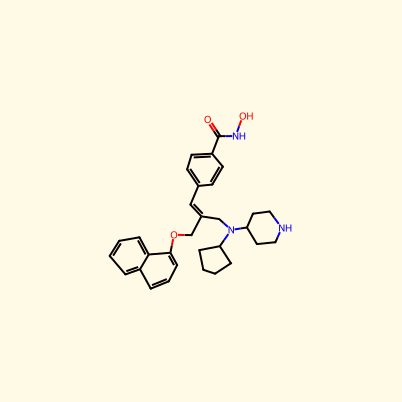 O=C(NO)c1ccc(/C=C(/COc2cccc3ccccc23)CN(C2CCCC2)C2CCNCC2)cc1